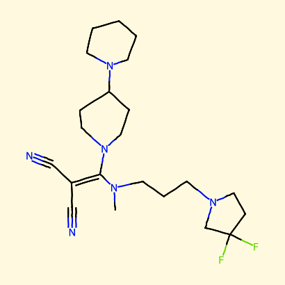 CN(CCCN1CCC(F)(F)C1)C(=C(C#N)C#N)N1CCC(N2CCCCC2)CC1